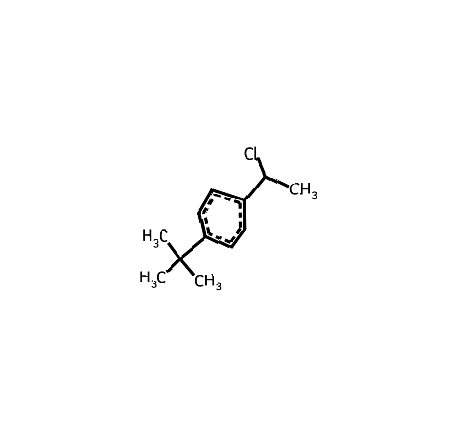 CC(Cl)c1ccc(C(C)(C)C)cc1